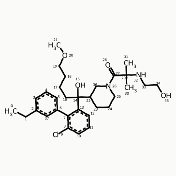 CCc1cccc(-c2c(Cl)cccc2C(O)(CCCCOC)C2CCCN(C(=O)C(C)(C)NCCO)C2)c1